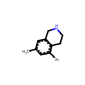 CC(=O)c1cc(C)cc2c1CCNC2